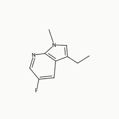 CCc1cn(C)c2ncc(F)cc12